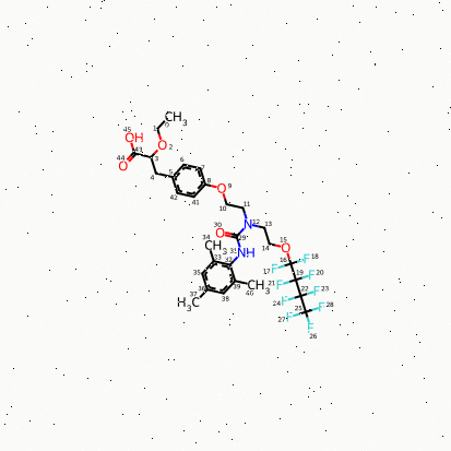 CCOC(Cc1ccc(OCCN(CCOC(F)(F)C(F)(F)C(F)(F)C(F)(F)F)C(=O)Nc2c(C)cc(C)cc2C)cc1)C(=O)O